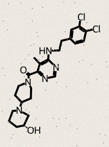 Cc1c(NCCc2ccc(Cl)c(Cl)c2)ncnc1C(=O)N1CCC(N2CCC[C@@H](O)C2)CC1